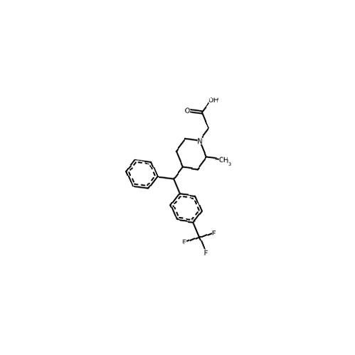 CC1CC(C(c2ccccc2)c2ccc(C(F)(F)F)cc2)CCN1CC(=O)O